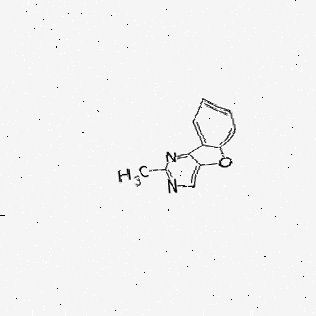 Cc1ncc2oc3ccccc3c2n1